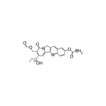 BC(=O)Oc1ccc2nc3c(cc2c1)Cn1c-3cc([C@@H](O)CC)c(COC=O)c1=O